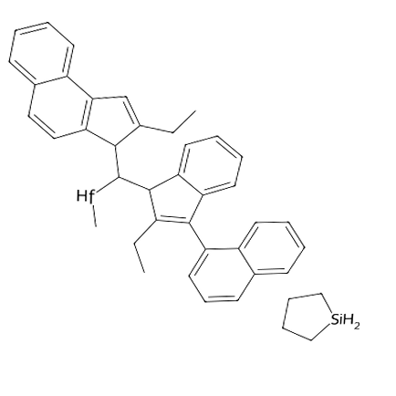 C1CC[SiH2]C1.CCC1=Cc2c(ccc3ccccc23)C1[CH]([Hf][CH3])C1C(CC)=C(c2cccc3ccccc23)c2ccccc21